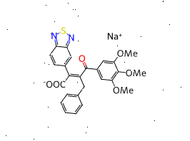 COc1cc(C(=O)C(Cc2ccccc2)=C(C(=O)[O-])c2ccc3nsnc3c2)cc(OC)c1OC.[Na+]